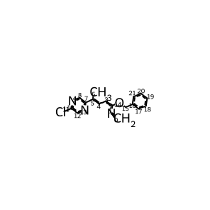 C=N/C(=C\C=C(/C)c1cnc(Cl)cn1)OCc1ccccc1